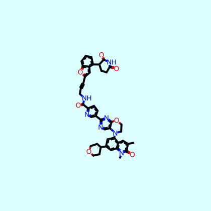 Cc1cc2c(N3CCOc4nc(-c5ccc(C(=O)NCC#Cc6cc7c(C8CCC(=O)NC8=O)cccc7o6)nc5)ncc43)cc(C3CCOCC3)cc2n(C)c1=O